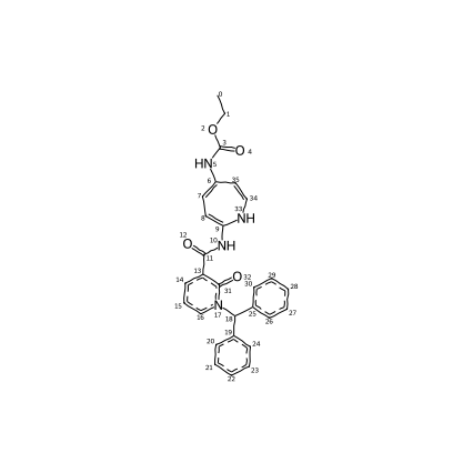 CCOC(=O)NC1=CC=C(NC(=O)c2cccn(C(c3ccccc3)c3ccccc3)c2=O)NC=C1